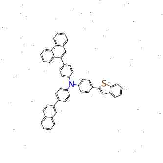 c1ccc2cc(-c3ccc(N(c4ccc(-c5cc6ccccc6s5)cc4)c4ccc(-c5cc6ccccc6c6ccccc56)cc4)cc3)ccc2c1